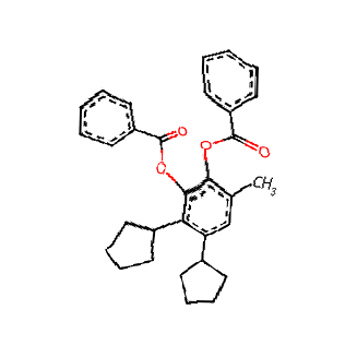 Cc1cc(C2CCCC2)c(C2CCCC2)c(OC(=O)c2ccccc2)c1OC(=O)c1ccccc1